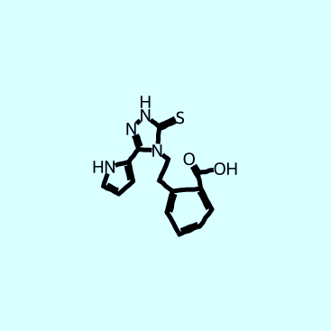 O=C(O)c1ccccc1CCn1c(-c2ccc[nH]2)n[nH]c1=S